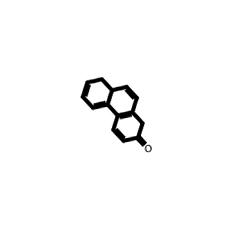 O=C1C=CC2=C(C=CC3CC=CC=C23)C1